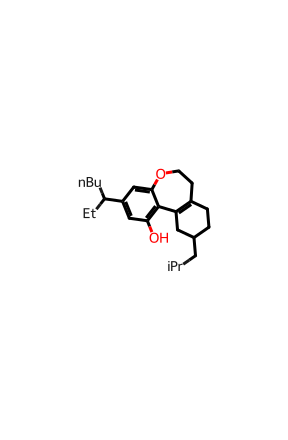 CCCCC(CC)c1cc(O)c2c(c1)OCCC1=C2CC(CC(C)C)CC1